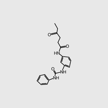 CCC(=O)CCC(=O)Nc1cccc(NC(=O)Nc2ccccc2)c1